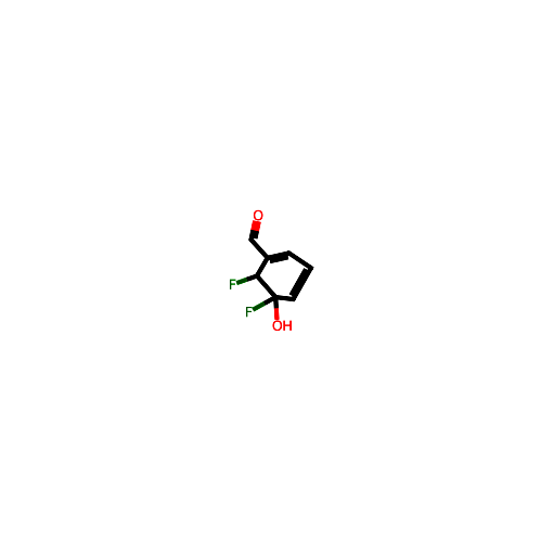 O=CC1=CC=CC(O)(F)C1F